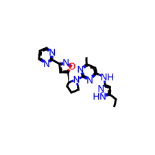 CCc1cc(Nc2cc(C)nc(N3CCC[C@H]3c3cc(-c4ncccn4)no3)n2)n[nH]1